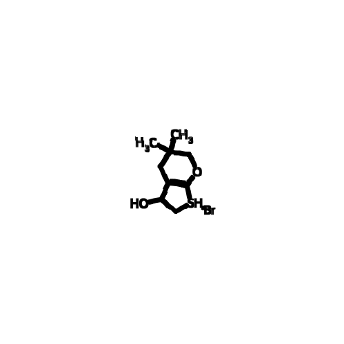 CC1(C)COC2=C(C1)C(O)C[SH]2Br